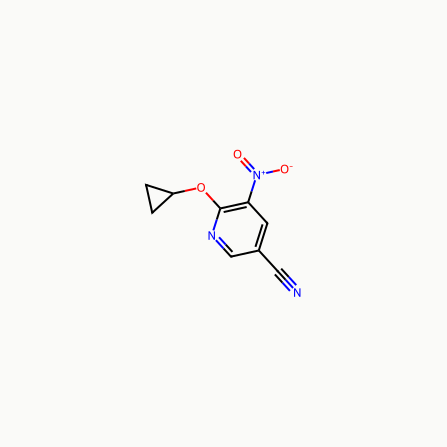 N#Cc1cnc(OC2CC2)c([N+](=O)[O-])c1